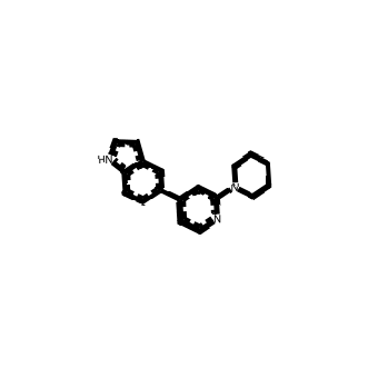 c1cc(-c2ccc3[nH]ccc3c2)cc(N2CCCCC2)n1